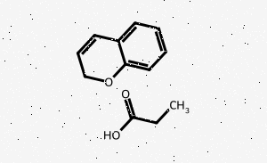 C1=Cc2ccccc2OC1.CCC(=O)O